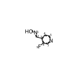 O/N=C/c1ccncc1F